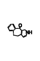 O=C1C2=C(C=CNC2)CCc2ccccc21